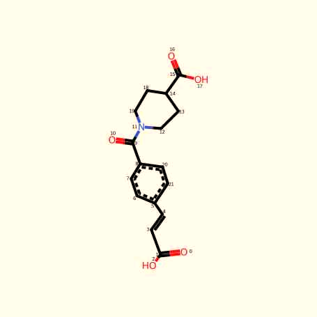 O=C(O)C=Cc1ccc(C(=O)N2CCC(C(=O)O)CC2)cc1